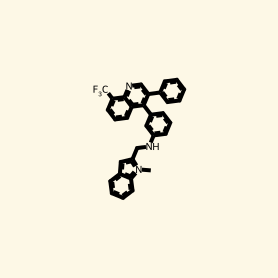 Cn1c(CNc2cccc(-c3c(-c4ccccc4)cnc4c(C(F)(F)F)cccc34)c2)cc2ccccc21